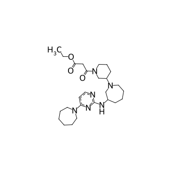 CCOC(=O)CC(=O)N1CCCC(N2CCCCC(Nc3nccc(N4CCCCCC4)n3)C2)C1